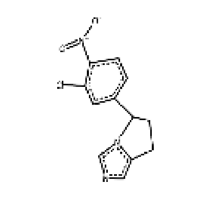 O=[N+]([O-])c1ccc(C2CCc3cncn32)cc1Cl